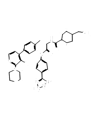 NCC1CCC(C(=O)N[C@@H](Cc2ccc(-c3ccnc(N4CCOCC4)c3F)cc2)C(=O)Nc2ccc(-c3nn[nH]n3)cc2)CC1